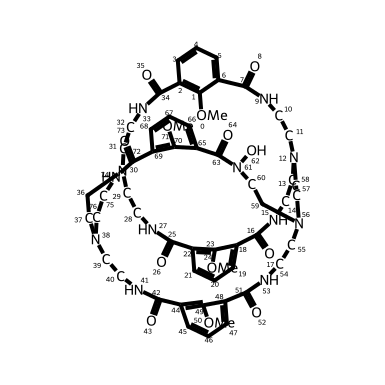 COc1c2cccc1C(=O)NCCN1CCNC(=O)c3cccc(c3OC)C(=O)NCCN(CCNC2=O)CCN2CCNC(=O)c3cccc(c3OC)C(=O)NCCN(CC1)CCN(O)C(=O)c1cccc(c1OC)C(=O)NCC2